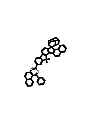 CC1(C)c2cc(-c3nc4c(c(-c5ccccc5)n3)C3C=CC=CC3C=C4)ccc2-c2ccc3c(c21)-c1ccc2ccccc2c1C31C2CC3CC(C2)CC1C3